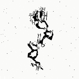 [2H]C([2H])([2H])[N+]1(C([2H])([2H])[2H])CCN(c2cc(C(=O)Nc3ncc4ccc(-c5cn(C)nn5)cc4n3)ccn2)CC1